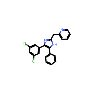 Clc1cc(Cl)cc(-c2nc(Cc3ccccn3)[nH]c2-c2ccccc2)c1